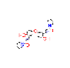 O=C(/C=C/C1=CC(Oc2ccc(O)c(/C=C/C(=O)N3CCCCC3)c2)=CCC1O)N1CCCCC1